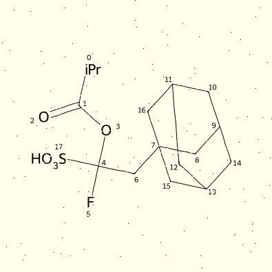 CC(C)C(=O)OC(F)(CC12CC3CC(CC(C3)C1)C2)S(=O)(=O)O